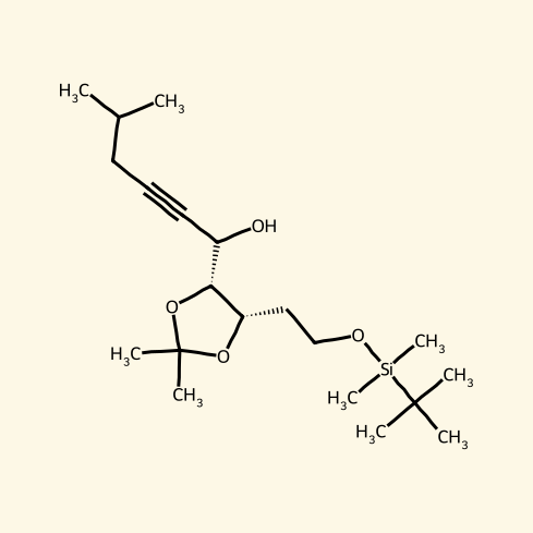 CC(C)CC#CC(O)[C@H]1OC(C)(C)O[C@H]1CCO[Si](C)(C)C(C)(C)C